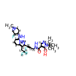 CN1CC[C@@H](Nc2cccc3c(CC(F)(F)F)c(C#CCNC(=O)c4cnn(C(C)(C)C)c4O)nn23)[C@@H](F)C1